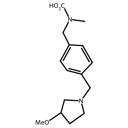 COC1CCN(Cc2ccc(CN(C)C(=O)O)cc2)C1